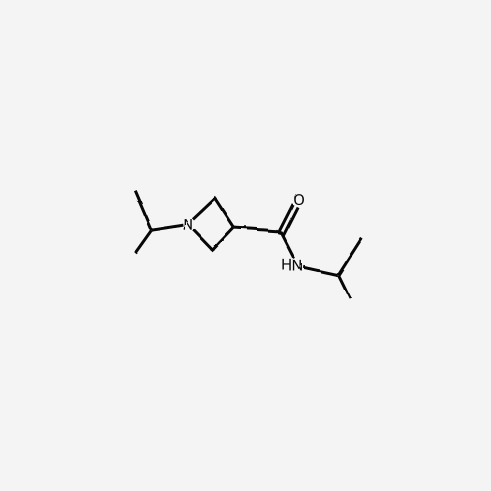 CC(C)NC(=O)C1CN(C(C)C)C1